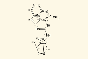 N=C(Nc1c(N)cc2cccc3c2c1C=C3)NC1C2CC3CC(C2)CC1C3